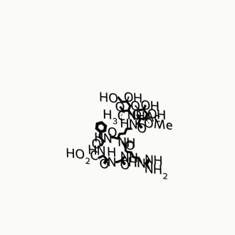 CO[C@@H]1C(C(=O)NCCCCC2NC(=O)C(CCCNC(=N)N)NC(=O)CNC(=O)C(CC(=O)O)NC(=O)C(Cc3ccccc3)NC2=O)O[C@@H](O[C@@H]2C(NC(C)=O)[C@H](C)OC(CO)[C@H]2O)C(O)[C@H]1O